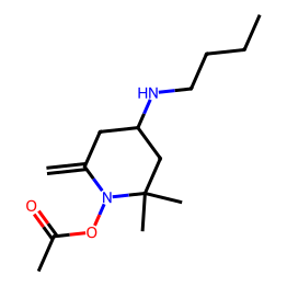 C=C1CC(NCCCC)CC(C)(C)N1OC(C)=O